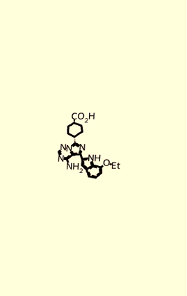 CCOc1cccc2cc(-c3nc([C@H]4CC[C@H](C(=O)O)CC4)n4ncnc(N)c34)[nH]c12